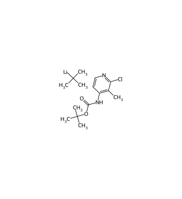 Cc1c(NC(=O)OC(C)(C)C)ccnc1Cl.[Li][C](C)(C)C